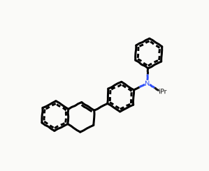 CC(C)N(c1ccccc1)c1ccc(C2=Cc3ccccc3CC2)cc1